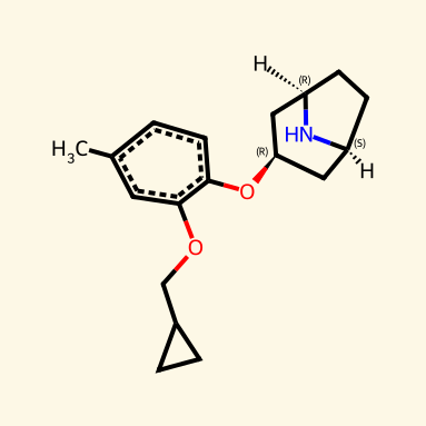 Cc1ccc(O[C@H]2C[C@H]3CC[C@@H](C2)N3)c(OCC2CC2)c1